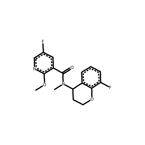 COc1ncc(F)cc1C(=O)N(C)C1CCOc2c(F)cccc21